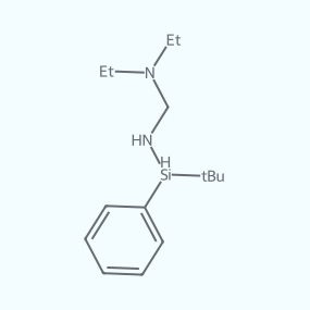 CCN(CC)CN[SiH](c1ccccc1)C(C)(C)C